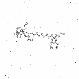 CC(C)CC(Cl)(C(C)C(CCCCCCCCCCCC(OCCCl)(OCCCl)OCCCl)(OCCCl)OCCCl)[SiH](C)C